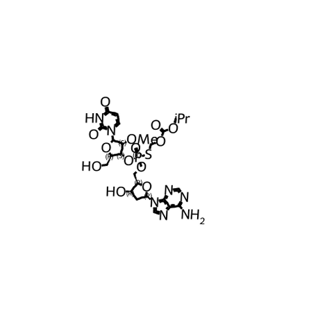 CO[C@@H]1C(n2ccc(=O)[nH]c2=O)O[C@H](CO)[C@@H]1O[P@@](=O)(OC[C@H]1O[C@@H](n2cnc3c(N)ncnc32)C[C@H]1O)SCOC(=O)OC(C)C